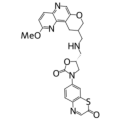 COc1ccc2ncc3c(c2n1)CC(CNC[C@@H]1CN(c2ccc4ncc(=O)sc4c2)C(=O)O1)CO3